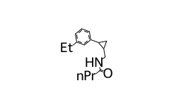 CCCC(=O)NCC1CC1c1cccc(CC)c1